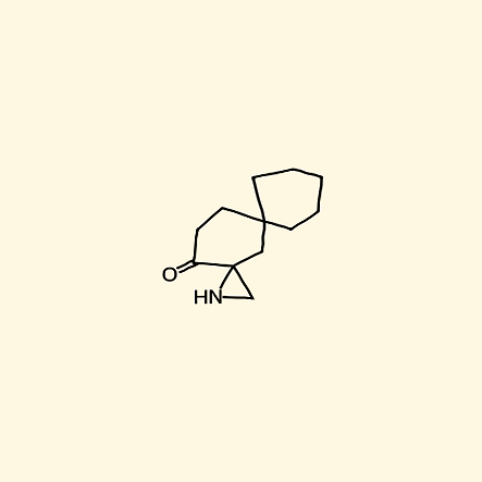 O=C1CCC2(CCCCC2)CC12CN2